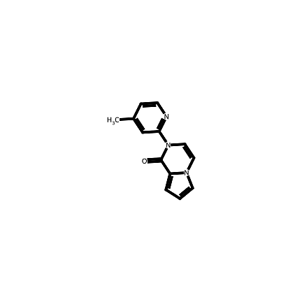 Cc1ccnc(-n2ccn3cccc3c2=O)c1